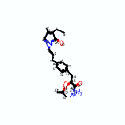 CCC1=C(C)CN(CCCc2ccc(CC(OC(C)C)C(N)=O)cc2)C1=O